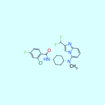 CN(c1cccc2nc(C(F)F)cn12)[C@H]1CC[C@@H](NC(=O)c2ccc(F)cc2Cl)CC1